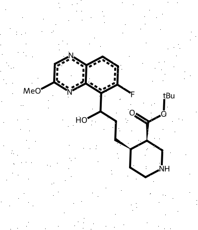 COc1cnc2ccc(F)c(C(O)CC[C@@H]3CCNC[C@@H]3C(=O)OC(C)(C)C)c2n1